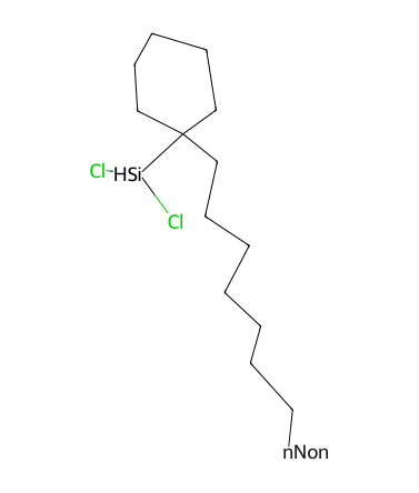 CCCCCCCCCCCCCCCCC1([SiH](Cl)Cl)CCCCC1